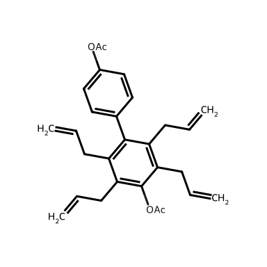 C=CCc1c(CC=C)c(-c2ccc(OC(C)=O)cc2)c(CC=C)c(CC=C)c1OC(C)=O